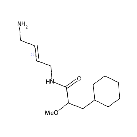 COC(CC1CCCCC1)C(=O)NC/C=C/CN